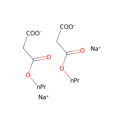 CCCOC(=O)CC(=O)[O-].CCCOC(=O)CC(=O)[O-].[Na+].[Na+]